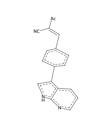 CC(=O)/C(C#N)=C/c1ccc(-c2c[nH]c3ncccc23)cc1